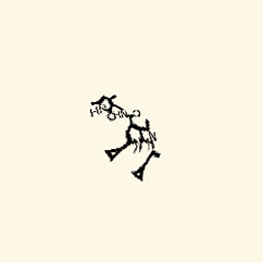 Cc1cc(C)c(CNC(=O)c2cc(C3CC3)nc3c2c(C)nn3C(C)C2CC2)c(=O)[nH]1